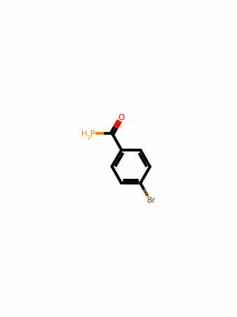 O=C(P)c1ccc(Br)cc1